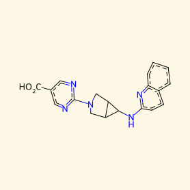 O=C(O)c1cnc(N2CC3C(C2)C3Nc2ccc3ccccc3n2)nc1